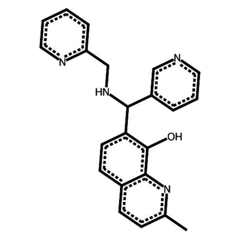 Cc1ccc2ccc(C(NCc3ccccn3)c3cccnc3)c(O)c2n1